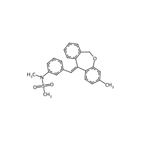 Cc1ccc2c(c1)OCc1ccccc1/C2=C\c1cccc(N(C)S(C)(=O)=O)c1